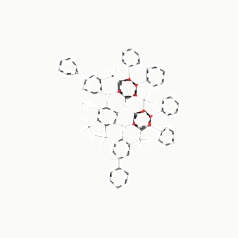 CC1(C)OC(C)(C)c2c(N3c4ccc(-c5ccccc5)cc4C(C)(C)c4cc(-c5ccccc5)ccc43)c(N3c4ccc(-c5ccccc5)cc4C(C)(C)c4cc(-c5ccccc5)ccc43)c(N3c4ccc(-c5ccccc5)cc4C(C)(C)c4cc(-c5ccccc5)ccc43)c(C#N)c21